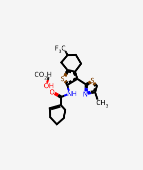 Cc1csc(-c2c(NC(=O)C3=CCCCC3)sc3c2CCC(C(F)(F)F)C3)n1.O=C(O)O